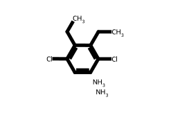 CCc1c(Cl)ccc(Cl)c1CC.N.N